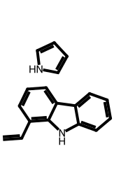 C=Cc1cccc2c1[nH]c1ccccc12.c1cc[nH]c1